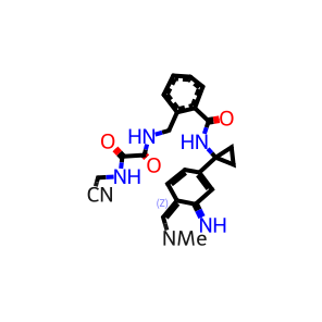 CN/C=C1/C=CC(C2(NC(=O)c3ccccc3CNC(=O)C(=O)NCC#N)CC2)=CC1=N